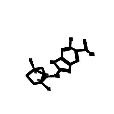 O=C(O)c1cc2nc(N[C@H]3C[C@H]4CC[C@H]3C4)[nH]c2cc1Cl